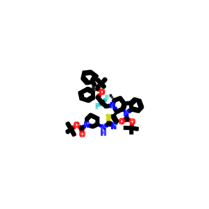 C[C@@H]1Cc2c(n(C(=O)OC(C)(C)C)c3ccccc23)[C@@H](c2cnc(N[C@@H]3CCCN(C(=O)OC(C)(C)C)C3)s2)N1CC(F)(F)CO[Si](c1ccccc1)(c1ccccc1)C(C)(C)C